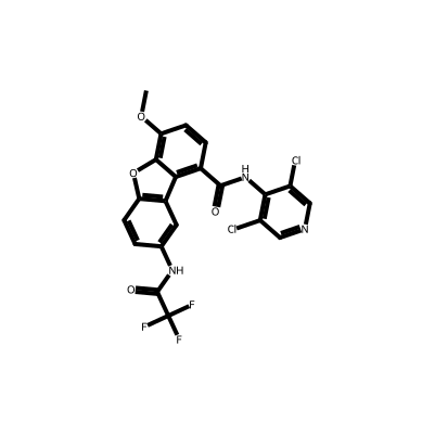 COc1ccc(C(=O)Nc2c(Cl)cncc2Cl)c2c1oc1ccc(NC(=O)C(F)(F)F)cc12